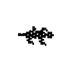 COc1cc(CCN)c(-c2ccc(-c3cc(CCN)c(OCc4ccccc4)c(CCN)c3)c(OC)c2)c(CCN)c1